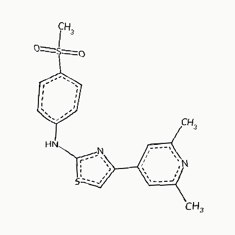 Cc1cc(-c2csc(Nc3ccc(S(C)(=O)=O)cc3)n2)cc(C)n1